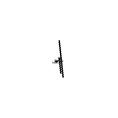 CCCCCCCCCCCCCCCCCCN(CCCCCCCCCCCCCCCCCC)C(=O)[C@H](CCC(=O)O)NC(=O)CCCCCCCCCCC